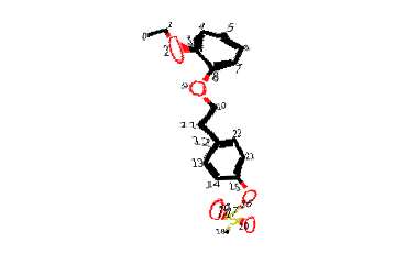 CCOc1ccccc1OCCc1ccc(OS(C)(=O)=O)cc1